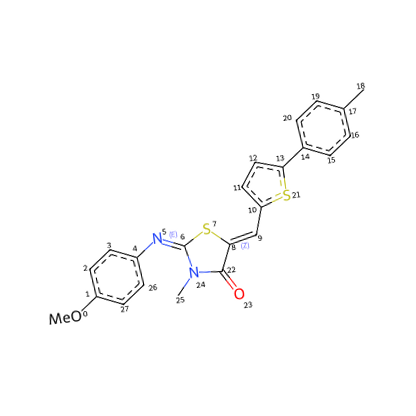 COc1ccc(/N=C2/S/C(=C\c3ccc(-c4ccc(C)cc4)s3)C(=O)N2C)cc1